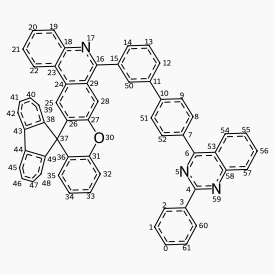 c1ccc(-c2nc(-c3ccc(-c4cccc(-c5nc6ccccc6c6cc7c(cc56)Oc5ccccc5C75c6ccccc6-c6ccccc65)c4)cc3)c3ccccc3n2)cc1